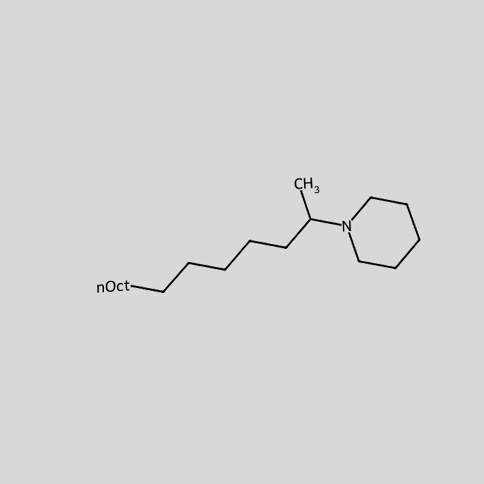 CCCCCCCCCCCCCC(C)N1CCCCC1